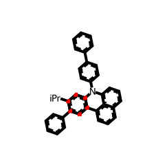 CC(C)c1ccc(-c2cccc3cccc(N(c4ccc(-c5ccccc5)cc4)c4ccc(-c5ccccc5)cc4)c23)cc1